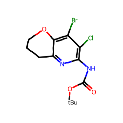 CC(C)(C)OC(=O)Nc1nc2c(c(Br)c1Cl)OCCC2